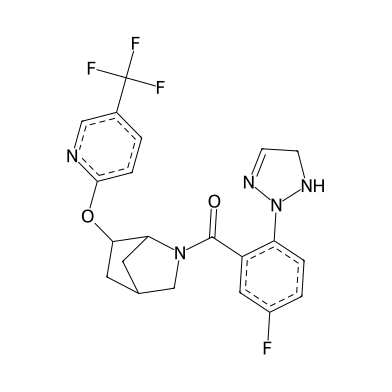 O=C(c1cc(F)ccc1N1N=CCN1)N1CC2CC(Oc3ccc(C(F)(F)F)cn3)C1C2